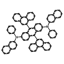 c1ccc(N(c2ccc3ccccc3c2)c2ccc3c(-c4cc5ccccc5c5ccccc45)c4cc(N(c5ccccc5)c5ccc6ccccc6c5)ccc4c(-c4cc5ccccc5c5ccccc45)c3c2)cc1